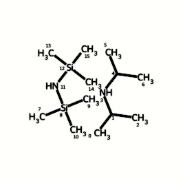 CC(C)NC(C)C.C[Si](C)(C)N[Si](C)(C)C